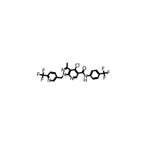 Cc1nn(Cc2ccc(C(F)(F)F)nc2)c2ncc(C(=O)Nc3ccc(C(F)(F)F)cc3)c(Cl)c12